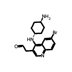 N[C@H]1CC[C@H](Nc2c(CC=O)cnc3ccc(Br)cc23)CC1